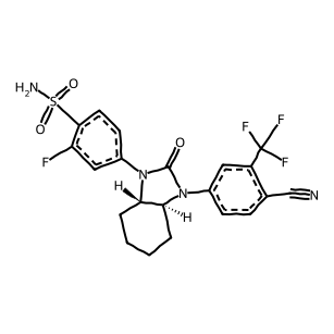 N#Cc1ccc(N2C(=O)N(c3ccc(S(N)(=O)=O)c(F)c3)[C@H]3CCCC[C@@H]32)cc1C(F)(F)F